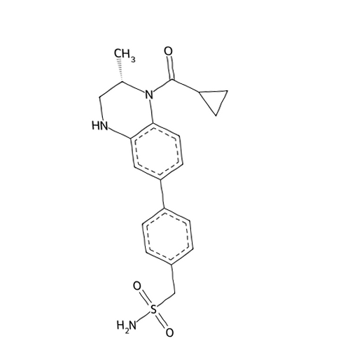 C[C@H]1CNc2cc(-c3ccc(CS(N)(=O)=O)cc3)ccc2N1C(=O)C1CC1